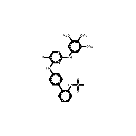 COc1cc(Nc2ncc(F)c(Nc3ccc(-c4ccccc4NS(C)(=O)=O)cc3)n2)cc(OC)c1OC